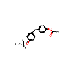 CCC(C)(C)Oc1ccc(Cc2ccc(OC(=O)C(C)C)cc2)cc1